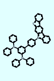 c1ccc(N(c2ccccc2)c2cc(-c3ccc(-n4c5ccccc5c5cc6c(cc54)sc4ccccc46)cc3)cc(N(c3ccccc3)c3ccccc3)c2)cc1